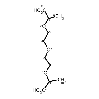 CC(OCCOCCOC(C)C(=O)O)C(=O)O